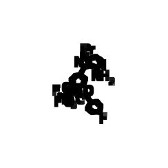 CC(C)n1nc(-c2ccc(NS(=O)(=O)C(F)F)c(O[C@@H](C)c3ccc(F)cc3)c2)c2c(N)nccc21